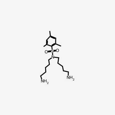 Cc1cc(C)c(S(=O)(=O)N(CCCCCN)CCCCCN)c(C)c1